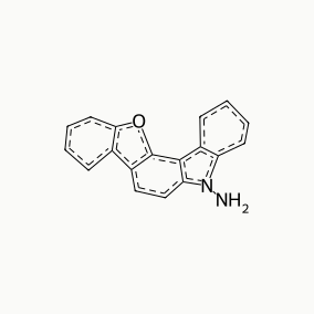 Nn1c2ccccc2c2c3oc4ccccc4c3ccc21